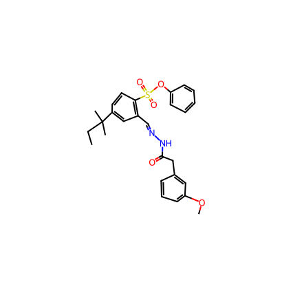 CCC(C)(C)c1ccc(S(=O)(=O)Oc2ccccc2)c(C=NNC(=O)Cc2cccc(OC)c2)c1